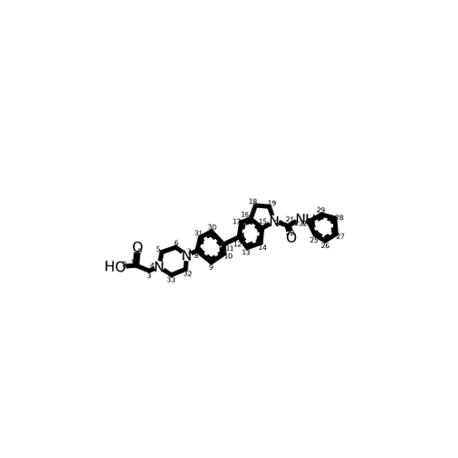 O=C(O)CN1CCN(c2ccc(-c3ccc4c(c3)CCN4C(=O)Nc3ccccc3)cc2)CC1